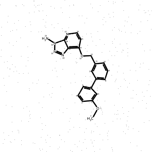 COc1cccc(-c2cccc(COc3ccnc4c3nnn4N)c2)c1